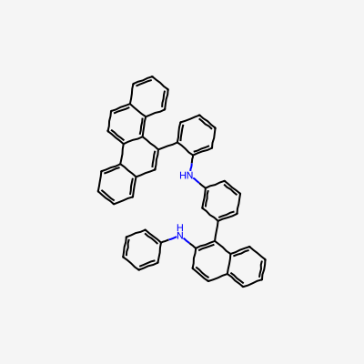 c1ccc(Nc2ccc3ccccc3c2-c2cccc(Nc3ccccc3-c3cc4ccccc4c4ccc5ccccc5c34)c2)cc1